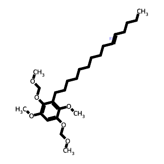 CCCC/C=C/CCCCCCCCCc1c(OC)c(OCOC)cc(OC)c1OCOC